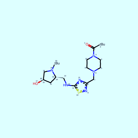 CC(C)(C)C(=O)N1CCN(Cc2nsc(NC[C@@H]3C[C@@H](O)CN3C(C)(C)C)n2)CC1